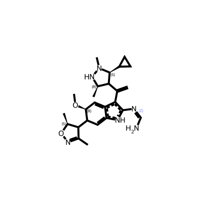 C=C(c1c(/N=C\N)[nH]c2c1=C[C@H](OC)C(C1C(C)=NO[C@H]1C)C=2)C1[C@H](C2CC2)N(C)N[C@@H]1C